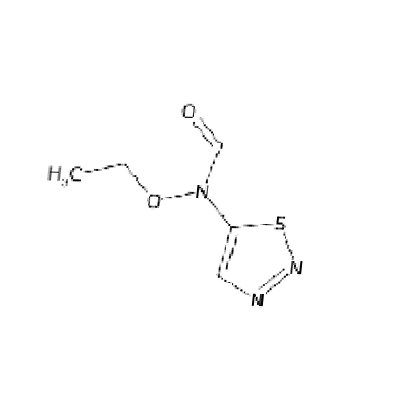 CCON(C=O)c1cnns1